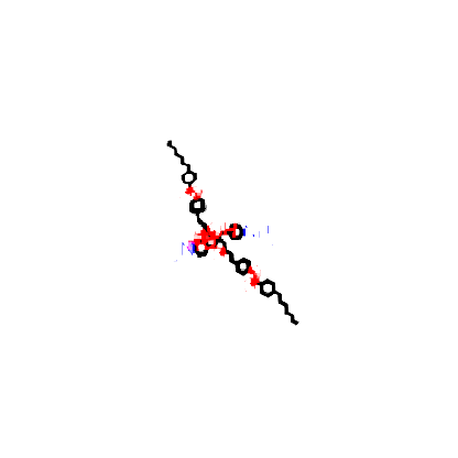 C=CCCCCCC1CCC(C(=O)Oc2ccc(/C=C/C(=O)CC(Cc3ccc(N)cc3)(Cc3ccc(N)cc3)C(O)(O)C(=O)/C=C/c3ccc(OC(=O)C4CCC(CCCCCC=C)CC4)cc3)cc2)CC1